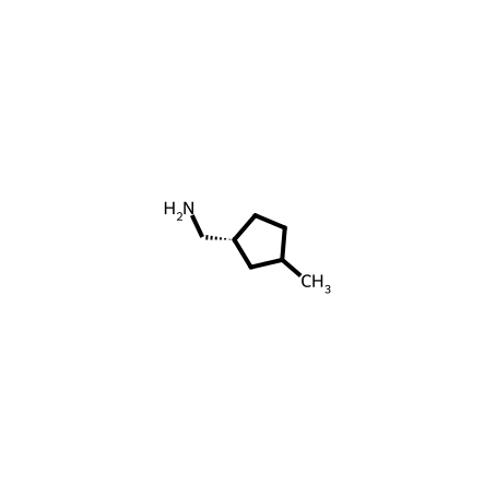 CC1CC[C@@H](CN)C1